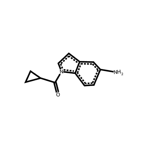 Nc1ccc2c(ccn2C(=O)C2CC2)c1